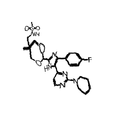 CC1(CNS(C)(=O)=O)COC(c2nc(-c3ccc(F)cc3)c(-c3ccnc(N4CCCCC4)n3)[nH]2)OC1